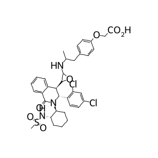 CC(Cc1ccc(OCC(=O)O)cc1)NC1OC1[C@@H]1c2ccccc2C(=O)N([C@H]2CCCC[C@@H]2NS(C)(=O)=O)[C@H]1c1ccc(Cl)cc1Cl